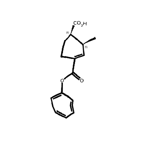 C[C@H]1C=C(C(=O)Oc2ccccc2)CC[C@H]1C(=O)O